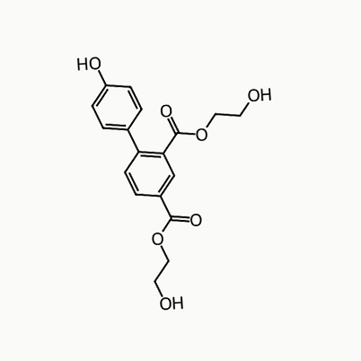 O=C(OCCO)c1ccc(-c2ccc(O)cc2)c(C(=O)OCCO)c1